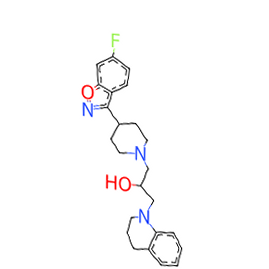 OC(CN1CCC(c2noc3cc(F)ccc23)CC1)CN1CCCc2ccccc21